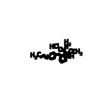 CCCCN1CCC(Cc2cccc3[nH]c(OC)c(C(N)=O)c23)CC1.Cl